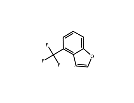 FC(F)(F)c1cccc2oc[c]c12